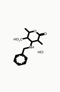 CC1OC(=O)C(C)C(NCc2ccccc2)C1C(=O)O.Cl